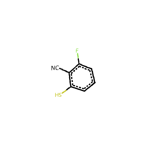 N#Cc1c(F)cccc1S